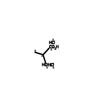 CC(O)C(=O)O.Cl.Cl